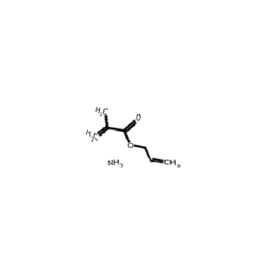 C=CCOC(=O)C(=C)C.N